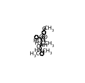 COc1ccc(S(=O)(=O)N(CC(C)C)C(O)(CCNC(=O)CNc2c(C)cccc2C)Cc2ccccc2)cc1